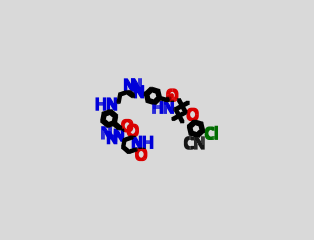 CC1(C)C(NC(=O)c2ccc(-n3cc(CCNc4ccc5nnn(C6CCC(=O)NC6=O)c(=O)c5c4)nn3)cc2)C(C)(C)C1Oc1ccc(C#N)c(Cl)c1